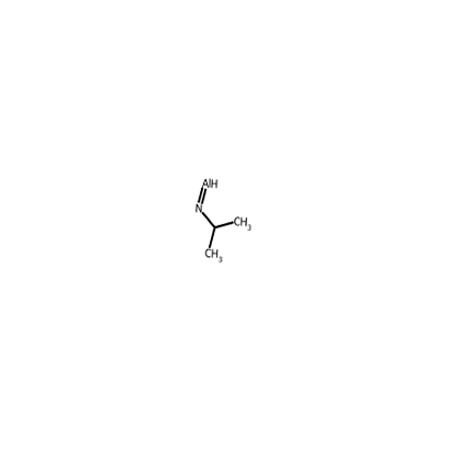 CC(C)[N]=[AlH]